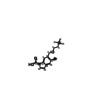 C[Si](C)(C)CCOCc1cc2c(ccn2C(=O)O)cc1Br